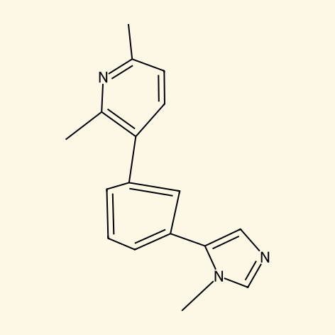 Cc1ccc(-c2cccc(-c3cncn3C)c2)c(C)n1